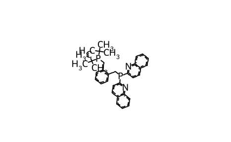 CC(C)(C)P(Cc1ccccc1CP(c1ccc2ccccc2n1)c1ccc2ccccc2n1)C(C)(C)C